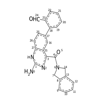 Nc1nc(C(=O)N2Cc3ccccc3C2)c2cc(-c3ccccc3C=O)ccc2n1